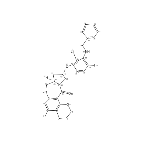 Cc1cc2c(c3c1CCCO3)C(=O)N1C[C@@H](Oc3ncc(I)c(NCc4ccccc4)c3Cl)C[C@@H]1CO2